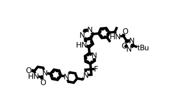 Cc1cc(-c2ncnc3[nH]c(-c4ccc(C5(F)CN(CC6CCN(c7ccc(N8CCC(=O)NC8=O)cc7)CC6)C5)cn4)cc23)ccc1C(C)NC(=O)c1nc(C(C)(C)C)no1